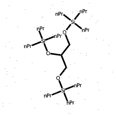 CCC[Si](CCC)(CCC)OCC(CO[Si](CCC)(CCC)CCC)O[Si](CCC)(CCC)CCC